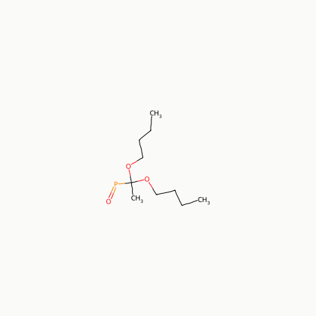 CCCCOC(C)(OCCCC)P=O